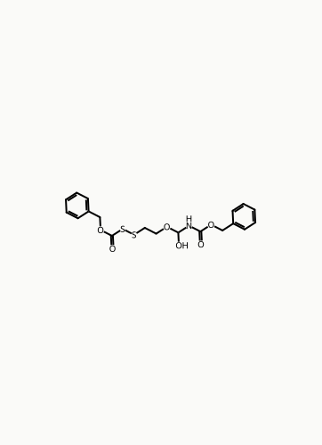 O=C(NC(O)OCCSSC(=O)OCc1ccccc1)OCc1ccccc1